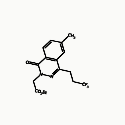 CCOC(=O)Cn1nc(CCC(F)(F)F)c2cc(C)ccc2c1=O